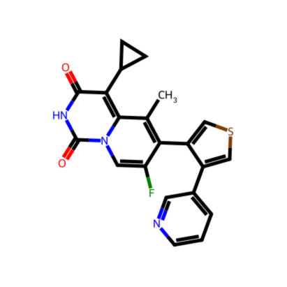 Cc1c(-c2cscc2-c2cccnc2)c(F)cn2c(=O)[nH]c(=O)c(C3CC3)c12